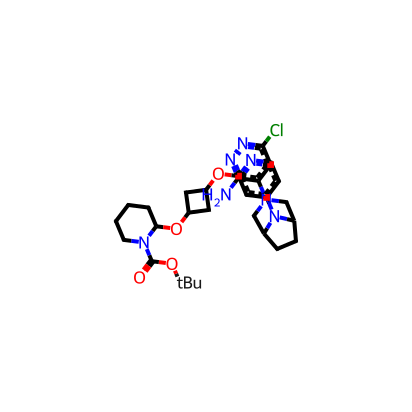 CC(C)(C)OC(=O)N1CCCCC1OC1CC(Oc2cc(N3C4CCC3CN(c3cc(Cl)nnc3N)C4)ccn2)C1